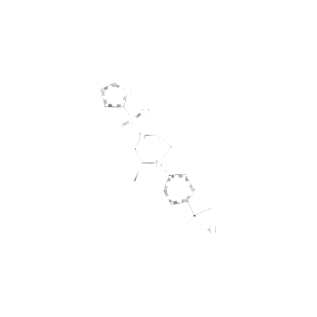 C[C@H]1CN(S(=O)(=O)c2ccco2)CCN1c1ccc(C(C)(C)O)cc1